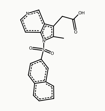 Cc1c(CC(=O)O)c2cnccc2n1S(=O)(=O)c1ccc2ccccc2c1